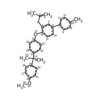 C=C(C)Cc1cc(-c2ccc(C)cc2)ccc1Oc1ccc(C(C)(C)c2ccc(OC)cc2)cc1